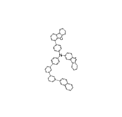 c1cc(-c2ccc(N(c3ccc(-c4cccc5c4oc4ccccc45)cc3)c3ccc4sc5ccccc5c4c3)cc2)cc(-c2cccc(-c3ccc4ccccc4c3)c2)c1